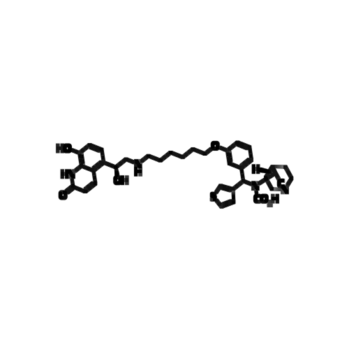 O=C(O)N(C(c1ccsc1)c1cccc(OCCCCCCNC[C@@H](O)c2ccc(O)c3[nH]c(=O)ccc23)c1)[C@H]1CN2CCC1CC2